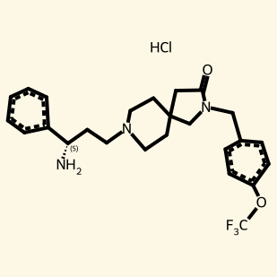 Cl.N[C@@H](CCN1CCC2(CC1)CC(=O)N(Cc1ccc(OC(F)(F)F)cc1)C2)c1ccccc1